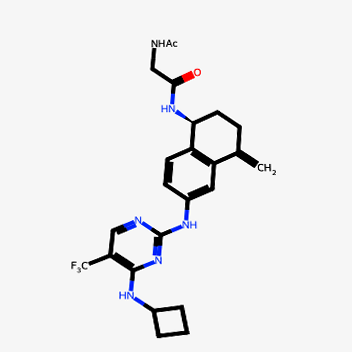 C=C1CC[C@H](NC(=O)CNC(C)=O)c2ccc(Nc3ncc(C(F)(F)F)c(NC4CCC4)n3)cc21